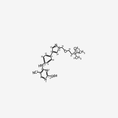 CSc1ncc(C#N)c(Nc2ccc(-c3cnn(COCC[Si](C)(C)C)c3)cc2)n1